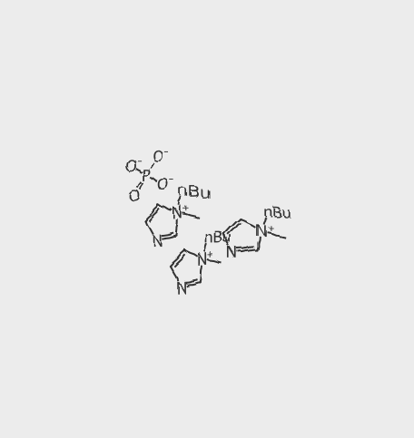 CCCC[N+]1(C)C=CN=C1.CCCC[N+]1(C)C=CN=C1.CCCC[N+]1(C)C=CN=C1.O=P([O-])([O-])[O-]